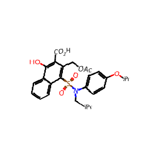 CC(=O)OCc1c(C(=O)O)c(O)c2ccccc2c1S(=O)(=O)N(CC(C)C)c1ccc(OC(C)C)cc1